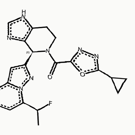 CC(F)c1cccc2cc([C@H]3c4nc[nH]c4CCN3C(=O)c3nnc(C4CC4)o3)nn12